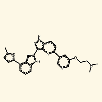 Cc1ccc(-c2cccc3[nH]c(-c4n[nH]c5ccc(-c6cncc(OCCN(C)C)c6)nc45)cc23)s1